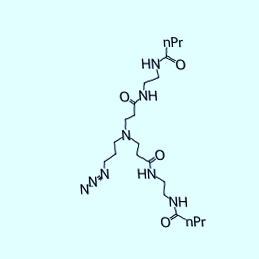 CCCC(=O)NCCNC(=O)CCN(CCCN=[N+]=[N-])CCC(=O)NCCNC(=O)CCC